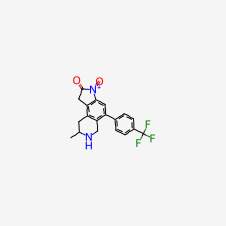 CC1Cc2c(c(-c3ccc(C(F)(F)F)cc3)cc3c2CC(=O)[N+]3=O)CN1